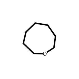 [CH]1CCCCOCC1